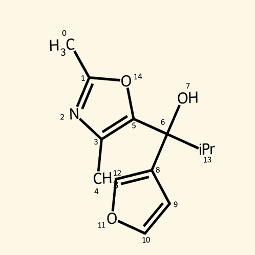 Cc1nc(C)c(C(O)(c2ccoc2)C(C)C)o1